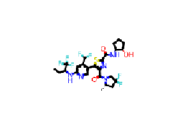 CCC(Nc1cc(C(F)F)c(-c2sc(C(=O)N[C@H]3CCC[C@@H]3O)nc2C(=O)N2CC(F)(F)C[C@@H]2C)cn1)C(F)(F)F